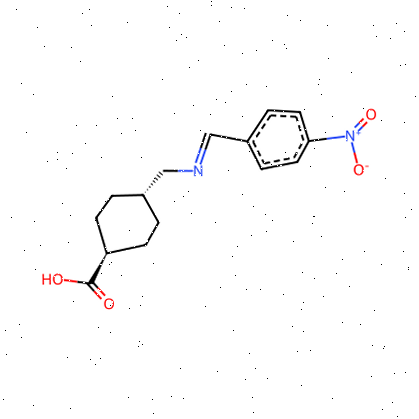 O=C(O)[C@H]1CC[C@H](CN=Cc2ccc([N+](=O)[O-])cc2)CC1